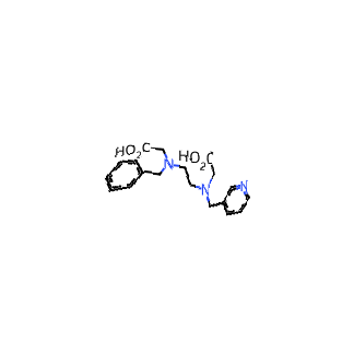 O=C(O)CN(CCN(CC(=O)O)Cc1cccnc1)Cc1ccccc1